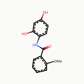 COc1ccccc1C(=O)Nc1ccc(O)cc1O